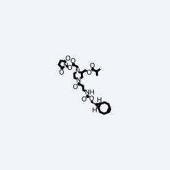 CC(C)C(=O)OCC1CN(C(=O)CCNC(=O)OC[C@@H]2[C@@H]3CCC#CCC[C@@H]32)CCN1CC(=O)ON1C(=O)CCC1=O